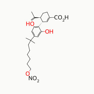 C=C(C)[C@H]1CCC(C(=O)O)=C[C@@H]1c1c(O)cc(C(C)(C)CCCCCCO[N+](=O)[O-])cc1O